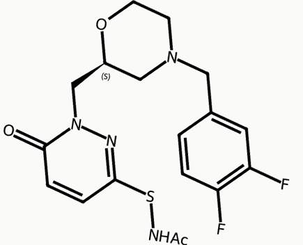 CC(=O)NSc1ccc(=O)n(C[C@@H]2CN(Cc3ccc(F)c(F)c3)CCO2)n1